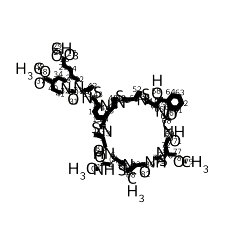 CNC(=O)C[C@@H]1NC(=O)c2csc(n2)-c2ccc(-c3nc(N(CCCCC(=O)OC)C(=O)N4CCC(C(=O)OC)CC4)cs3)nc2-c2csc(n2)-c2csc(n2)[C@H]([C@@H](O)c2ccccc2)NC(=O)CNC(=O)c2nc(sc2COC)NC(=O)c2nc1sc2C